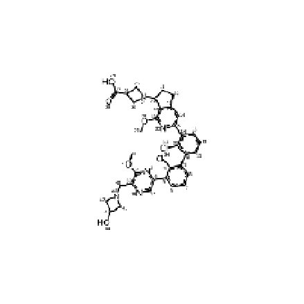 COc1nc(-c2cccc(-c3cccc(-c4cc5c(c(OC)n4)C(N4CC(C(=O)O)C4)CC5)c3Cl)c2Cl)cnc1CN1CC(O)C1